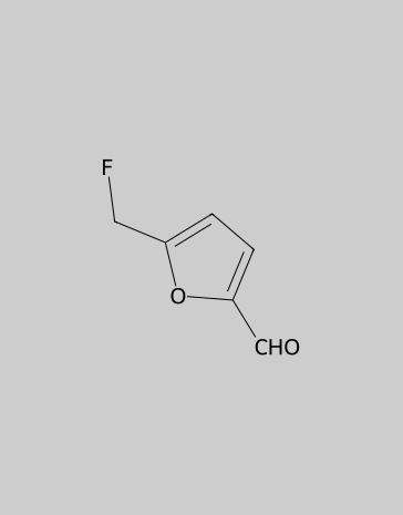 O=Cc1ccc(CF)o1